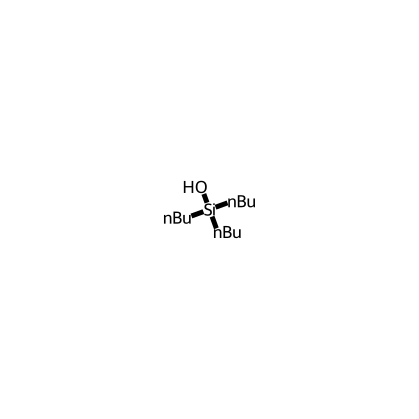 CCCC[Si](O)(CCCC)CCCC